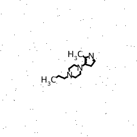 CCCN1CCN(C2=C(C)N=CC2)CC1